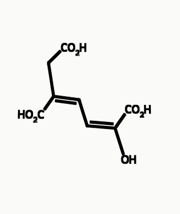 O=C(O)C/C(=C/C=C(/O)C(=O)O)C(=O)O